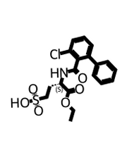 CCOC(=O)[C@H](CCS(=O)(=O)O)NC(=O)c1c(Cl)cccc1-c1ccccc1